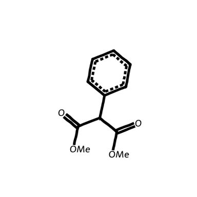 COC(=O)[C](C(=O)OC)c1ccccc1